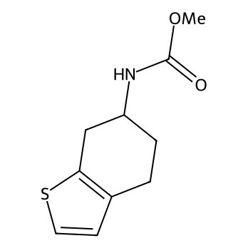 COC(=O)NC1CCc2ccsc2C1